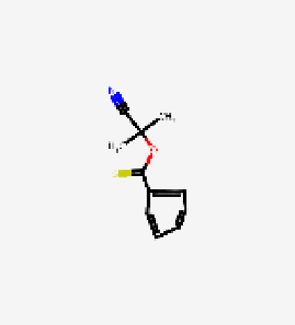 CC(C)(C#N)OC(=S)c1ccccc1